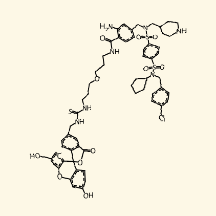 Nc1cc(CN(CC2CCNCC2)S(=O)(=O)c2ccc(S(=O)(=O)N(Cc3ccc(Cl)cc3)C3CCCC3)cc2)ccc1C(=O)NCCCOCCCNC(=S)NCc1ccc2c(c1)C(=O)OC21c2ccc(O)cc2Oc2cc(O)ccc21